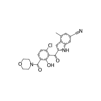 Cc1cc(C#N)cc2[nH]c(C(=O)c3c(Cl)ccc(C(=O)N4CCOCC4)c3O)cc12